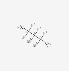 FC(F)(F)C(F)(F)C(F)(Br)C(F)(Br)C(F)(F)F